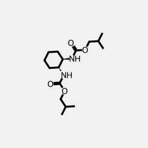 CC(C)COC(=O)N[C@@H]1CCCC[C@H]1NC(=O)OCC(C)C